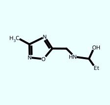 CCC(O)NCc1nc(C)no1